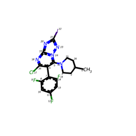 CC1CCN(c2c(-c3c(F)cc(F)cc3F)c(Cl)nc3nc(I)nn23)CC1